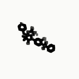 CC1(C)C(=O)N(c2ccc(S(=O)(=O)c3ccccc3)c(Cl)c2)C(=O)[N+]1(Cc1ccncc1)OC(=O)C(F)(F)F